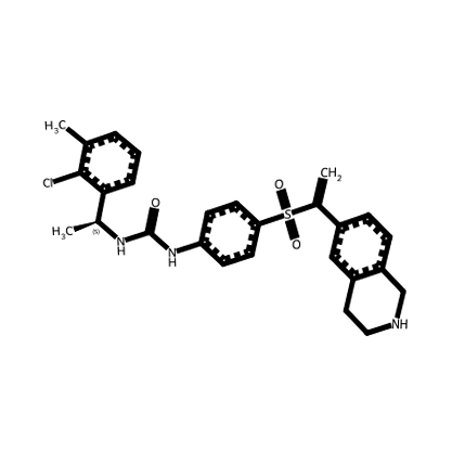 C=C(c1ccc2c(c1)CCNC2)S(=O)(=O)c1ccc(NC(=O)N[C@@H](C)c2cccc(C)c2Cl)cc1